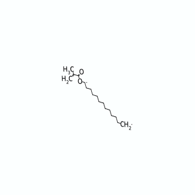 [CH2]CCCCCCCCCCC[CH]OC(=O)C(=C)C